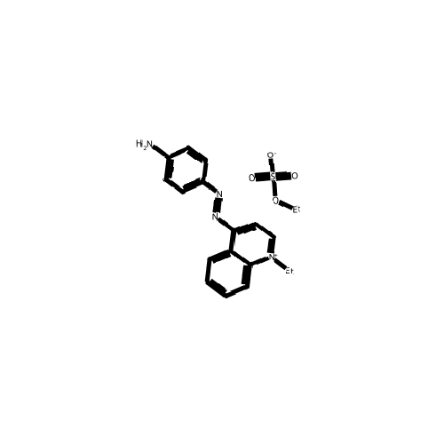 CCOS(=O)(=O)[O-].CC[n+]1ccc(/N=N/c2ccc(N)cc2)c2ccccc21